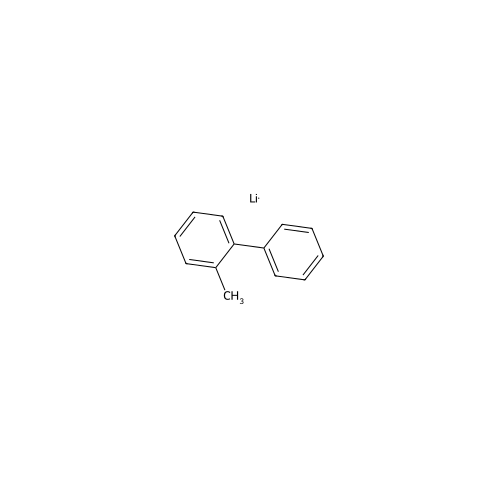 Cc1ccccc1-c1ccccc1.[Li]